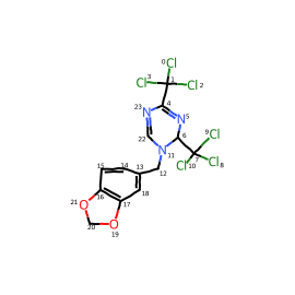 ClC(Cl)(Cl)C1=NC(C(Cl)(Cl)Cl)N(Cc2ccc3c(c2)OCO3)C=N1